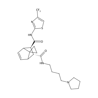 O=C(NCCCCN1CCCC1)[C@@H]1C2C=CC([C@H]1C(=O)Nc1nc(C(F)(F)F)cs1)C21CC1